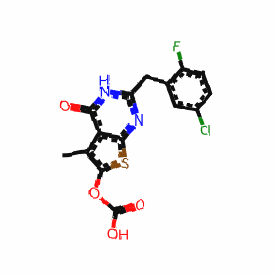 Cc1c(OC(=O)O)sc2nc(Cc3cc(Cl)ccc3F)[nH]c(=O)c12